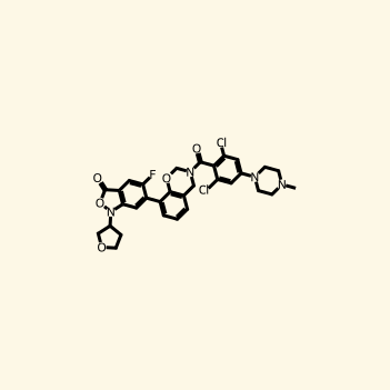 CN1CCN(c2cc(Cl)c(C(=O)N3COc4c(cccc4-c4cc5c(cc4F)c(=O)on5C4CCOC4)C3)c(Cl)c2)CC1